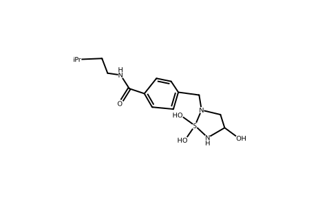 CC(C)CCNC(=O)c1ccc(CN2CC(O)NS2(O)O)cc1